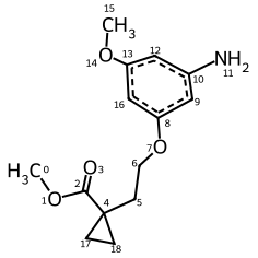 COC(=O)C1(CCOc2cc(N)cc(OC)c2)CC1